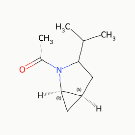 CC(=O)N1C(C(C)C)C[C@H]2C[C@H]21